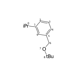 CC(C)c1cccc(COC(C)(C)C)c1